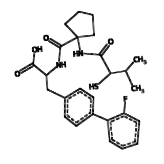 CC(C)C(S)C(=O)NC1(C(=O)NC(Cc2ccc(-c3ccccc3F)cc2)C(=O)O)CCCC1